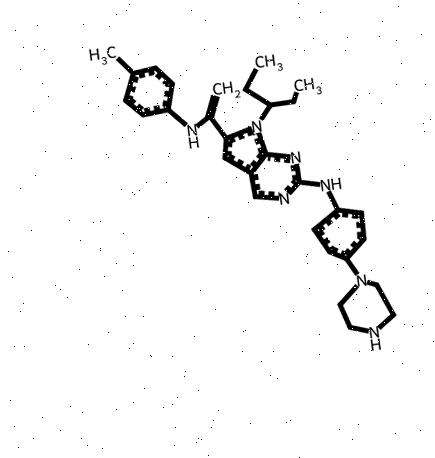 C=C(Nc1ccc(C)cc1)c1cc2cnc(Nc3ccc(N4CCNCC4)cc3)nc2n1C(CC)CC